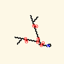 CCCCCC(CCCCC)CCOC(=O)CCCCCCCCOCC(CC(C)OC(=O)CCCN1CCCC1)OCCCCCCCC(=O)OCCC(CCCCC)CCCCC